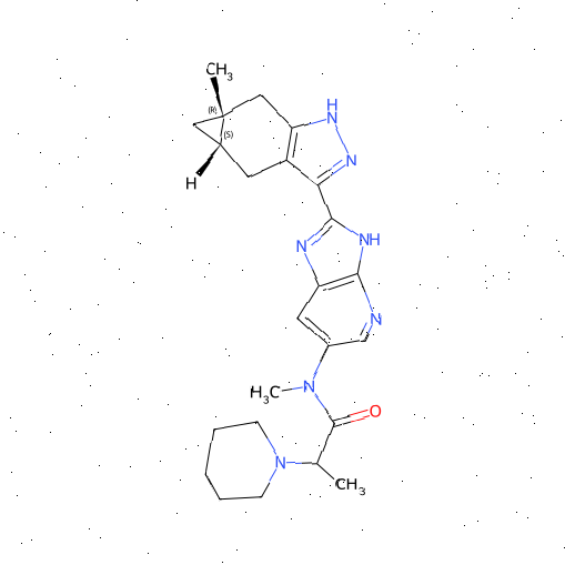 CC(C(=O)N(C)c1cnc2[nH]c(-c3n[nH]c4c3C[C@@H]3C[C@]3(C)C4)nc2c1)N1CCCCC1